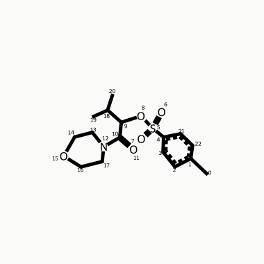 Cc1ccc(S(=O)(=O)OC(C(=O)N2CCOCC2)C(C)C)cc1